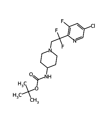 CC(C)(C)OC(=O)NC1CCN(CC(F)(F)c2ncc(Cl)cc2F)CC1